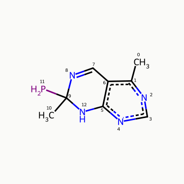 Cc1ncnc2c1C=NC(C)(P)N2